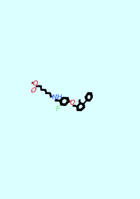 COC(=O)CCCCCCNCc1ccc(OCc2cccc(-c3ccccc3)c2C)cc1F